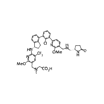 COc1nc(-c2cccc(-c3cccc4c3CC[C@@H]4Nc3nc(OC)c(CN(C)CC(=O)O)cc3C(F)(F)F)c2Cl)ccc1CNC[C@@H]1CCC(=O)N1